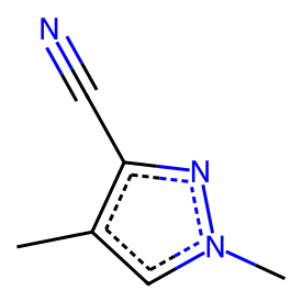 Cc1cn(C)nc1C#N